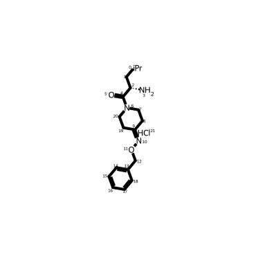 CC(C)C[C@H](N)C(=O)N1CCC(=NOCc2ccccc2)CC1.Cl